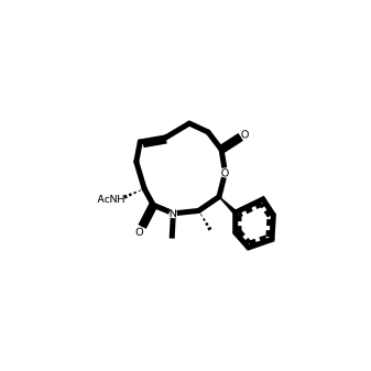 CC(=O)N[C@@H]1C/C=C/CCC(=O)O[C@@H](c2ccccc2)[C@H](C)N(C)C1=O